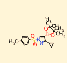 Cc1ccc(S(=O)(=O)n2cc(B3OC(C)(C)C(C)(C)O3)c(C3CC3)n2)cc1